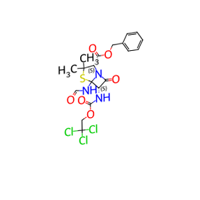 CC1(C)SC2(NC=O)[C@@H](NC(=O)OCC(Cl)(Cl)Cl)C(=O)N2[C@H]1C(=O)OCc1ccccc1